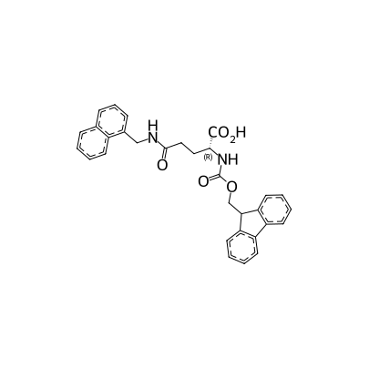 O=C(CC[C@@H](NC(=O)OCC1c2ccccc2-c2ccccc21)C(=O)O)NCc1cccc2ccccc12